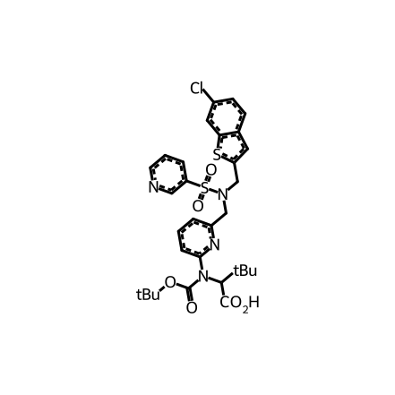 CC(C)(C)OC(=O)N(c1cccc(CN(Cc2cc3ccc(Cl)cc3s2)S(=O)(=O)c2cccnc2)n1)C(C(=O)O)C(C)(C)C